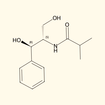 CC(C)C(=O)N[C@@H](CO)[C@H](O)c1ccccc1